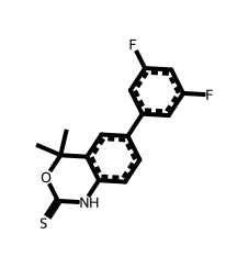 CC1(C)OC(=S)Nc2ccc(-c3cc(F)cc(F)c3)cc21